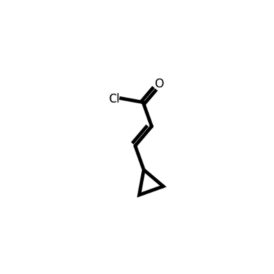 O=C(Cl)C=CC1CC1